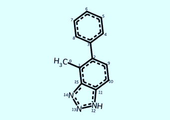 Cc1c(-c2ccccc2)ccc2[nH]nnc12